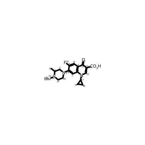 CC1CN(c2cc3c(cc2F)c(=O)c(C(=O)O)cn3C2CC2)CCN1C(C)(C)C